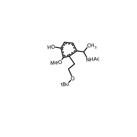 COc1c(O)ccc(C(C)NC(C)=O)c1CCOC(C)(C)C